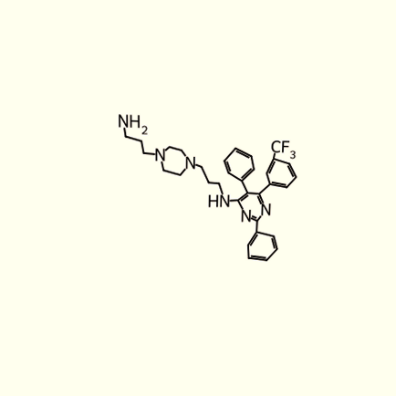 NCCCN1CCN(CCCNc2nc(-c3ccccc3)nc(-c3cccc(C(F)(F)F)c3)c2-c2ccccc2)CC1